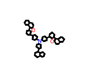 c1ccc2c(-c3ccc(N(c4ccc(-c5cccc6c5oc5ccc7ccccc7c56)cc4)c4ccc(-c5cccc6c5oc5ccc7ccccc7c56)cc4)cc3)cccc2c1